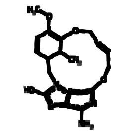 COC1=C2OC/C=C/COc3cc4c(nc(O)n4CC(C=C1)C2C)c(N)n3